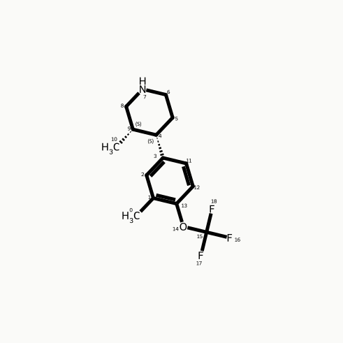 Cc1cc([C@H]2CCNC[C@H]2C)ccc1OC(F)(F)F